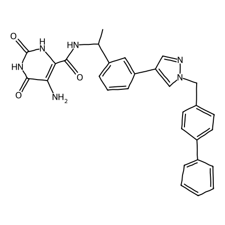 CC(NC(=O)c1[nH]c(=O)[nH]c(=O)c1N)c1cccc(-c2cnn(Cc3ccc(-c4ccccc4)cc3)c2)c1